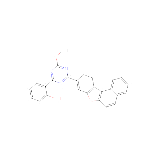 COc1nc(C2=Cc3oc4ccc5ccccc5c4c3CC2)nc(-c2ccccc2O)n1